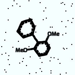 COc1cccc(OC)c1-c1c[c]ccc1